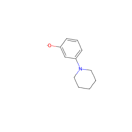 [O]c1cccc(N2CCCCC2)c1